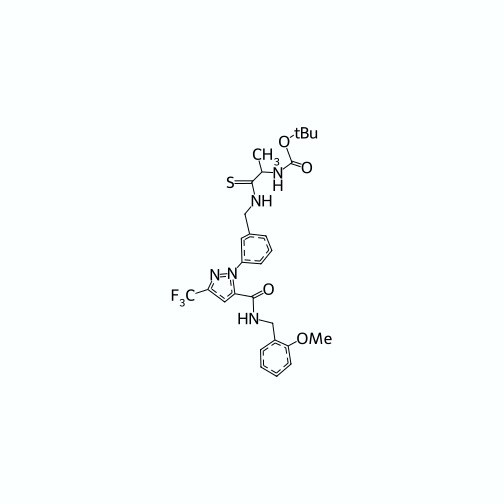 COc1ccccc1CNC(=O)c1cc(C(F)(F)F)nn1-c1cccc(CNC(=S)C(C)NC(=O)OC(C)(C)C)c1